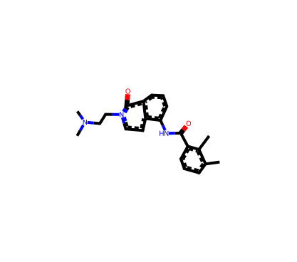 Cc1cccc(C(=O)Nc2cccc3c(=O)n(CCN(C)C)ccc23)c1C